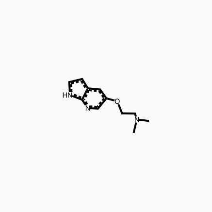 CN(C)CCOc1cnc2[nH]ccc2c1